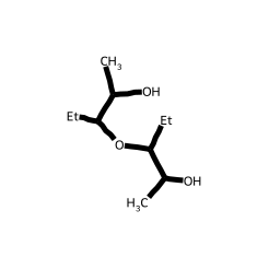 CCC(OC(CC)C(C)O)C(C)O